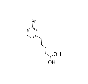 OC(O)CCCCc1cccc(Br)c1